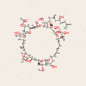 C=C(Cl)/C=C/C(O)CC(=C)CC1O[C@@H]2C(C)C(OC(=O)C[C@H]3C[C@H](OC(C)=O)C[C@@]4(C[C@@](C)(O)CC(CC(=C)[C@@H](C)[C@H](OC(C)=O)[C@H](C)C(=O)C[C@@H]5C[C@H](OC)C[C@@]6(C[C@@H](O)CC(/C=C\CCC[C@H]7O[C@](O)(C[C@H](O)[C@H]7C)[C@H]2O)O6)O5)O4)O3)[C@@H]1O